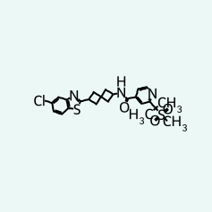 CC(C)(c1cc(C(=O)NC2CC3(C2)CC(c2nc4cc(Cl)ccc4s2)C3)ccn1)S(C)(=O)=O